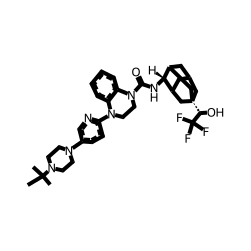 CC(C)(C)N1CCN(c2ccc(N3CCN(C(=O)N[C@H]4C5CC6CC4C[C@@](C(O)C(F)(F)F)(C6)C5)c4ccccc43)nc2)CC1